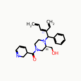 C=C/C=C(\C=C)C(c1ccccc1)N1CCN(C(=O)C2C=CC=NC2)C[C@@H]1CO